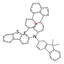 CC1(C)C2=C(C=CC(N(c3ccc(-c4cccc5cccc(-c6ccc(F)cc6)c45)cc3)c3ccc4c(c3)sc3ccccc34)C2)c2ccccc21